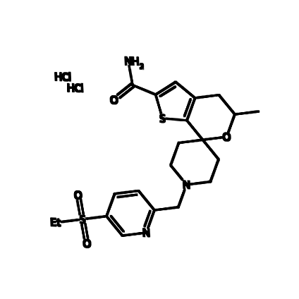 CCS(=O)(=O)c1ccc(CN2CCC3(CC2)OC(C)Cc2cc(C(N)=O)sc23)nc1.Cl.Cl